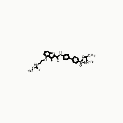 COC(=O)[C@@H](NS(=O)(=O)c1ccc(-c2ccc(NC(=O)c3oc4cccc(OCCNC(=O)OC(C)(C)C)c4c3C)cc2)cc1)C(C)C